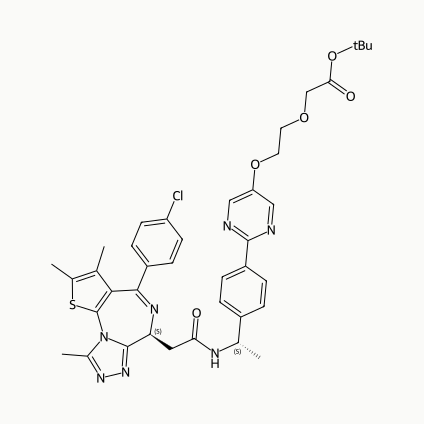 Cc1sc2c(c1C)C(c1ccc(Cl)cc1)=N[C@@H](CC(=O)N[C@@H](C)c1ccc(-c3ncc(OCCOCC(=O)OC(C)(C)C)cn3)cc1)c1nnc(C)n1-2